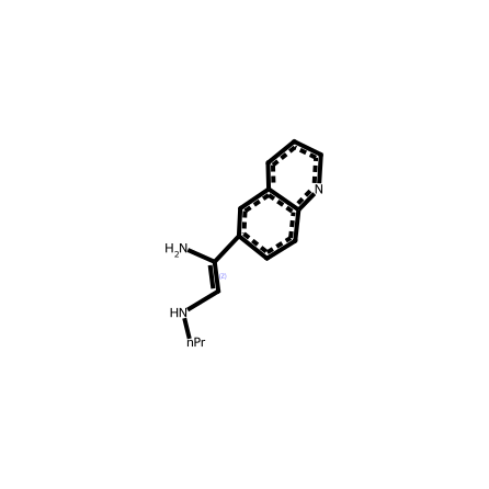 CCCN/C=C(\N)c1ccc2ncccc2c1